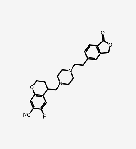 N#Cc1cc2c(cc1F)C(CN1CCN(CCc3ccc4c(c3)COC4=O)CC1)CCO2